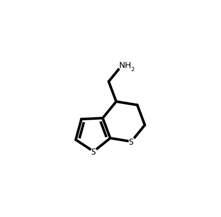 NCC1CCSc2sccc21